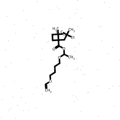 C=COCCCCOC(C)OC(=O)C1(CC(C)(C)CC)CCC1(C)C